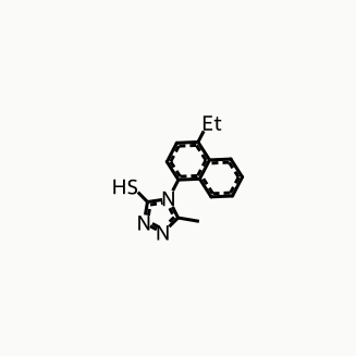 CCc1ccc(-n2c(C)nnc2S)c2ccccc12